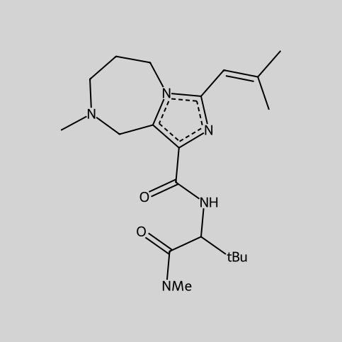 CNC(=O)C(NC(=O)c1nc(C=C(C)C)n2c1CN(C)CCC2)C(C)(C)C